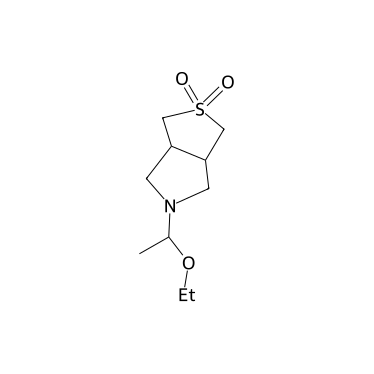 CCOC(C)N1CC2CS(=O)(=O)CC2C1